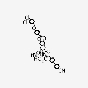 CC(C)(C)OC(=O)N1Cc2cc3c(cc2CC1C(=O)N[C@@H](Cc1ccc(-c2ccc(C#N)cc2)cc1)C(=O)O)OC[C@H](c1ccc(OCc2ccc(Cl)c(Cl)c2)cc1)O3